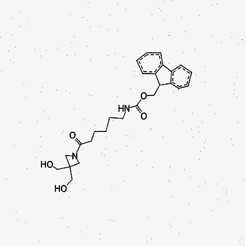 O=C(NCCCCCC(=O)N1CC(CO)(CO)C1)OCC1c2ccccc2-c2ccccc21